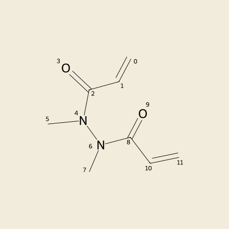 C=CC(=O)N(C)N(C)C(=O)C=C